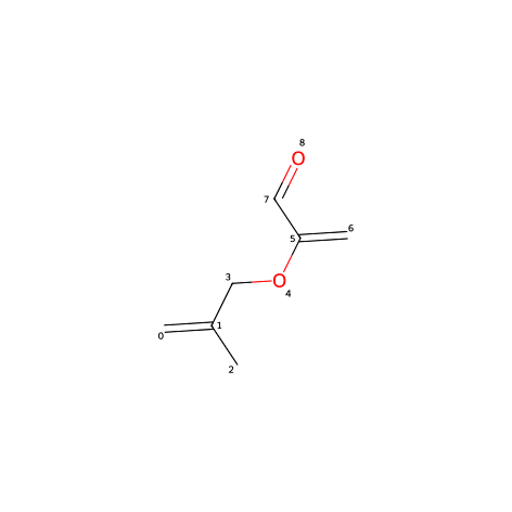 C=C(C)COC(=C)C=O